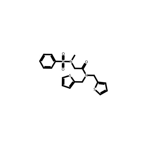 CN(CC(=O)N(Cc1cccs1)Cc1cccs1)S(=O)(=O)c1ccccc1